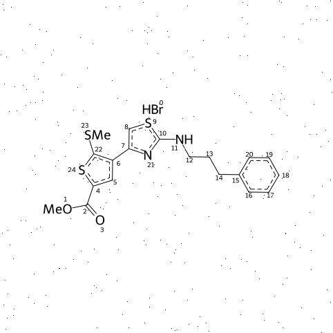 Br.COC(=O)c1cc(-c2csc(NCCCc3ccccc3)n2)c(SC)s1